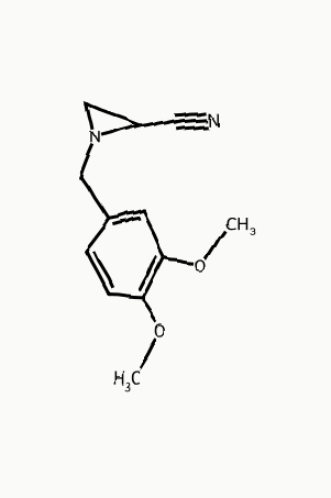 COc1ccc(CN2CC2C#N)cc1OC